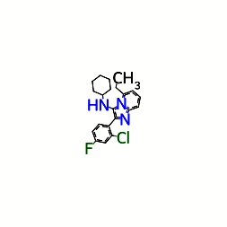 CCc1cccc2nc(-c3ccc(F)cc3Cl)c(NC3CCCCC3)n12